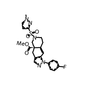 COC(=O)[C@]12Cc3cnn(-c4ccc(F)cc4)c3C=C1CCN(S(=O)(=O)c1ccn(C)n1)C2